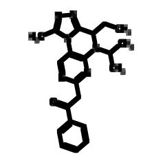 CCC1c2nnc(C)n2-c2cnc(CC(=O)c3ccccc3)nc2N1C(C)C